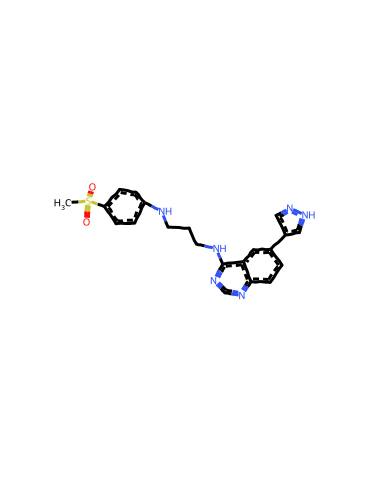 CS(=O)(=O)c1ccc(NCCCNc2ncnc3ccc(-c4cn[nH]c4)cc23)cc1